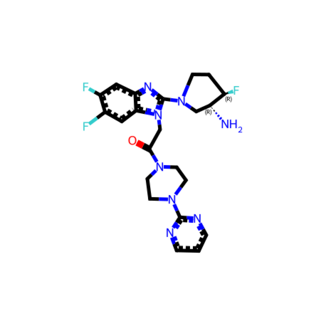 N[C@@H]1CN(c2nc3cc(F)c(F)cc3n2CC(=O)N2CCN(c3ncccn3)CC2)CC[C@H]1F